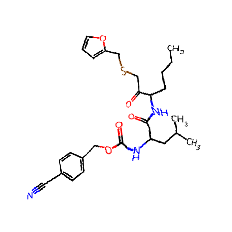 CCCCC(NC(=O)C(CC(C)C)NC(=O)OCc1ccc(C#N)cc1)C(=O)CSCc1ccco1